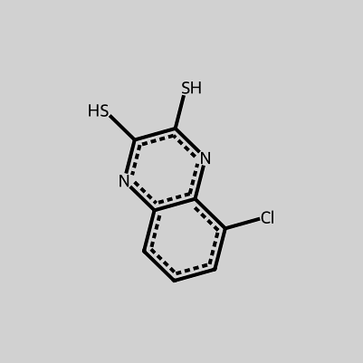 Sc1nc2cccc(Cl)c2nc1S